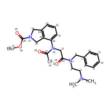 CN(C)CCN(Cc1ccccc1)C(=O)CN(C(=O)C(F)(F)F)c1cccc2c1CN(C(=O)OC(C)(C)C)C2